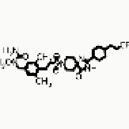 Cc1cc(CN(C)C(N)=O)cc(C)c1CCS(=O)(=O)N1CCC2(CC1)N=C(C1CCC(CCC(F)(F)F)CC1)NC2=O